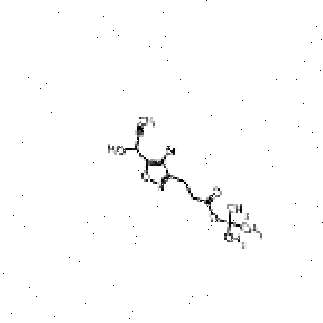 C#CC(O)c1onc(CCC(=O)OC(C)(C)C)c1Br